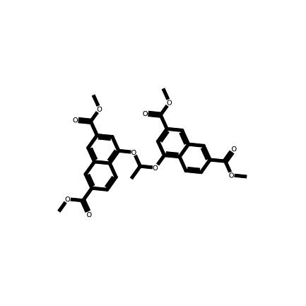 COC(=O)c1ccc2c(OC(C)Oc3cc(C(=O)OC)cc4cc(C(=O)OC)ccc34)cc(C(=O)OC)cc2c1